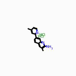 Cc1ccnc(-c2ccc3cc(C)c(N)nc3c2)c1.Cl.Cl